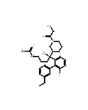 CCc1cccc(-c2c(F)cccc2[C@](O)(CCCNC(=O)O)[C@@H]2CCCN(C(=O)CN)C2)c1